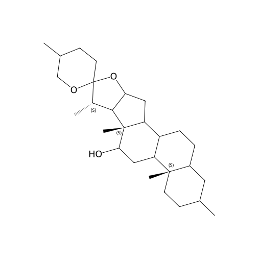 CC1CCC2(OC1)OC1CC3C4CCC5CC(C)CC[C@]5(C)C4CC(O)[C@]3(C)C1[C@@H]2C